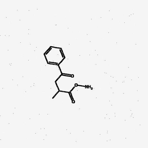 CC(CC(=O)c1ccccc1)C(=O)ON